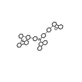 c1ccc(-n2c3ccccc3c3ccccc32)c(-c2ccc(-c3ccc(N(c4ccc(-c5ccc(-c6cccc7c6oc6ccccc67)cc5)cc4)c4cc5ccccc5c5ccccc45)cc3)cc2)c1